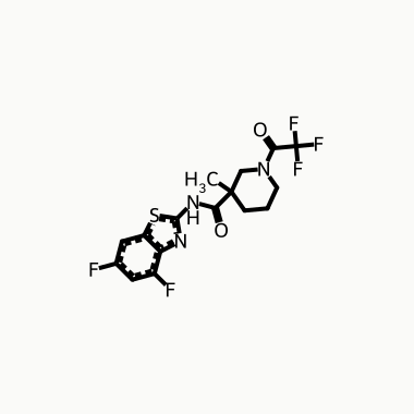 CC1(C(=O)Nc2nc3c(F)cc(F)cc3s2)CCCN(C(=O)C(F)(F)F)C1